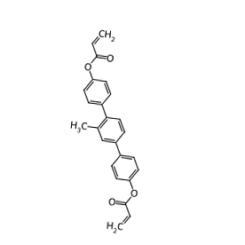 C=CC(=O)Oc1ccc(-c2ccc(-c3ccc(OC(=O)C=C)cc3)c(C)c2)cc1